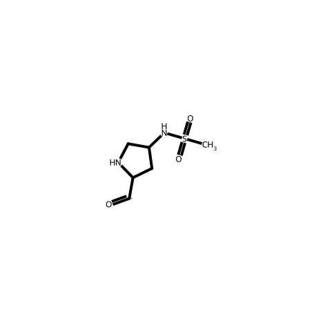 CS(=O)(=O)NC1CNC([C]=O)C1